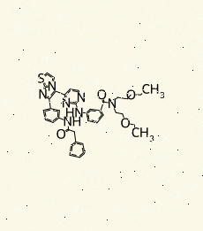 CCOCCN(CCOCC)C(=O)c1cccc(Nc2nccc(-c3c(-c4cccc(NC(=O)Cc5ccccc5)c4)nc4sccn34)n2)c1